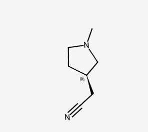 CN1CC[C@H](CC#N)C1